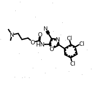 CN(C)CCCOC(=O)Nc1oc(-c2cc(Cl)cc(Cl)c2Cl)nc1C#N